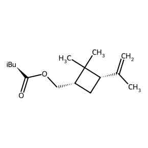 C=C(C)[C@@H]1C[C@H](COC(=O)[C@H](C)CC)C1(C)C